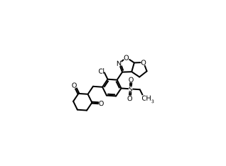 CCS(=O)(=O)c1ccc(CC2C(=O)CCCC2=O)c(Cl)c1C1=NOC2OCCC12